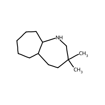 CC1(C)CCC2CCCCCC2NC1